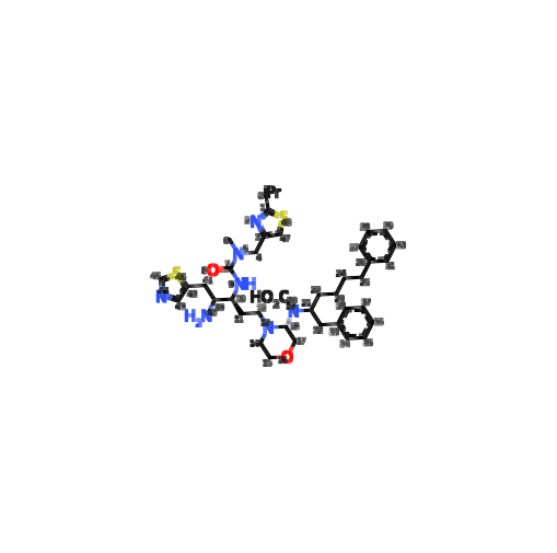 CC(C)c1nc(CN(C)C(=O)N[C@@H](CCN2CCOC[C@H]2N(C(=O)O)C(CCCCc2ccccc2)Cc2ccccc2)C(N)Cc2cncs2)cs1